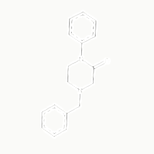 O=C1CN(Cc2ccccc2)CCN1c1ccccc1